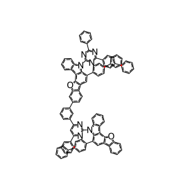 c1ccc(-c2ccc(-c3nc(-c4ccccc4)nc(-n4c5ccccc5c5c6oc7cc(-c8cccc(-c9cc(-c%10ccccc%10)nc(-n%10c%11ccccc%11c%11c%12oc%13ccccc%13c%12cc(-c%12ccc(-c%13ccccc%13)cc%12)c%11%10)n9)c8)ccc7c6cc(-c6ccc(-c7ccccc7)cc6)c54)n3)cc2)cc1